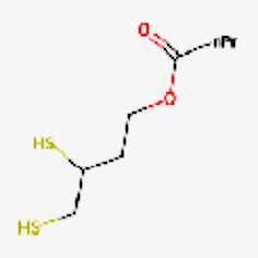 CCCC(=O)OCCC(S)CS